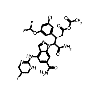 NC(=O)c1cc(NC2=NCC(F)CN2)c2cnn(C(C(N)=O)[C@@H](CC(=O)OC(=O)C(F)(F)F)c3cc(Cl)cc(OC(F)F)c3)c2c1